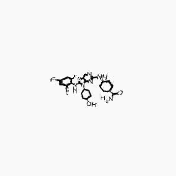 NC(=O)[C@H]1CC[C@H](Nc2ncc3nc(Nc4c(F)cc(F)cc4F)n([C@H]4CC[C@@H](O)CC4)c3n2)CC1